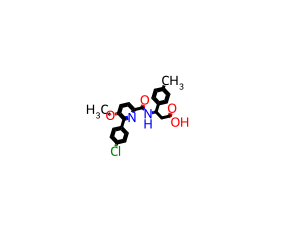 COc1ccc(C(=O)NC(CC(=O)O)c2ccc(C)cc2)nc1-c1ccc(Cl)cc1